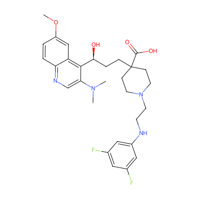 COc1ccc2ncc(N(C)C)c([C@@H](O)CCC3(C(=O)O)CCN(CCNc4cc(F)cc(F)c4)CC3)c2c1